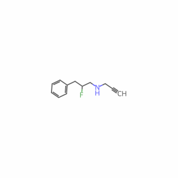 C#CCNCC(F)Cc1ccccc1